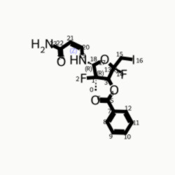 C[C@@]1(F)C(OC(=O)c2ccccc2)[C@@](F)(CI)O[C@H]1N/C=C\C(N)=O